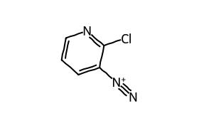 N#[N+]c1cccnc1Cl